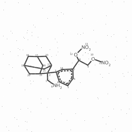 NCC1(c2cccc(C(CO[N+](=O)[O-])O[N+](=O)[O-])c2)C2CC3CC(C2)CC1C3